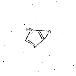 c1cc2c([nH]1)O2